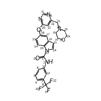 O=C(Nc1cccc(C(F)(F)F)c1)n1ccc2cc(Oc3cc(CN4CCOCC4)ncn3)ccc21